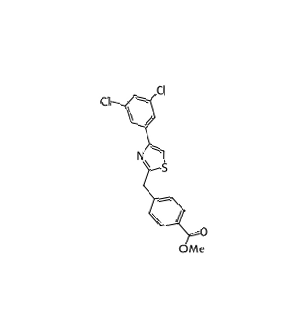 COC(=O)c1ccc(Cc2nc(-c3cc(Cl)cc(Cl)c3)cs2)cc1